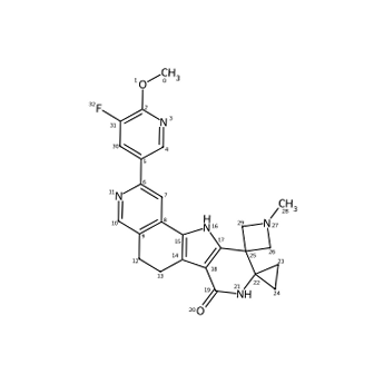 COc1ncc(-c2cc3c(cn2)CCc2c-3[nH]c3c2C(=O)NC2(CC2)C32CN(C)C2)cc1F